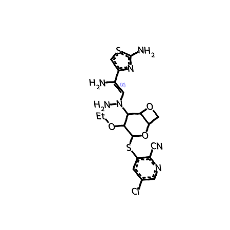 CCOC1C(Sc2cc(Cl)cnc2C#N)OC2COC2C1N(N)/C=C(\N)c1csc(N)n1